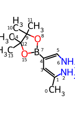 C/C(N)=C/C(=C\N)B1OC(C)(C)C(C)(C)O1